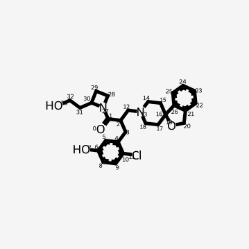 O=C(C(Cc1cc(O)ccc1Cl)CN1CCC2(CC1)OCc1ccccc12)N1CCC1CCO